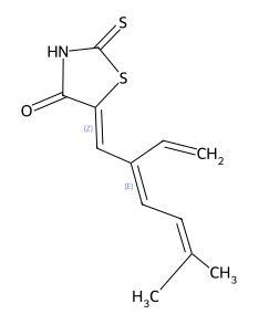 C=CC(/C=C1\SC(=S)NC1=O)=C\C=C(C)C